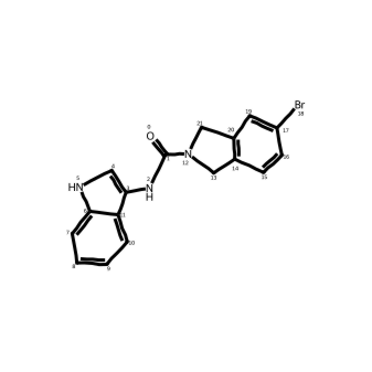 O=C(Nc1c[nH]c2ccccc12)N1Cc2ccc(Br)cc2C1